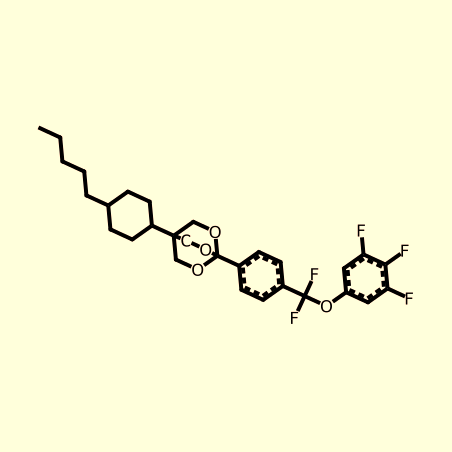 CCCCCC1CCC(C23COC(c4ccc(C(F)(F)Oc5cc(F)c(F)c(F)c5)cc4)(OC2)OC3)CC1